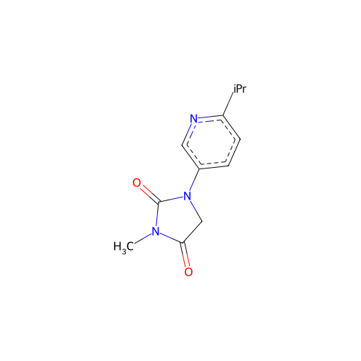 CC(C)c1ccc(N2CC(=O)N(C)C2=O)cn1